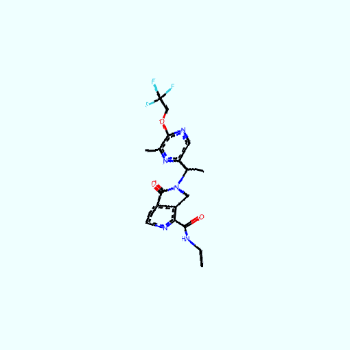 CCNC(=O)c1nccc2c1CN(C(C)c1cnc(OCC(F)(F)F)c(C)n1)C2=O